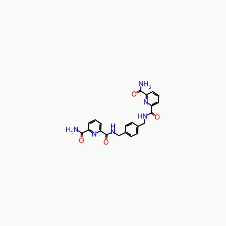 NC(=O)c1cccc(C(=O)NCc2ccc(CNC(=O)c3cccc(C(N)=O)n3)cc2)n1